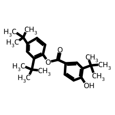 CC(C)(C)c1ccc(OC(=O)c2ccc(O)c(C(C)(C)C)c2)c(C(C)(C)C)c1